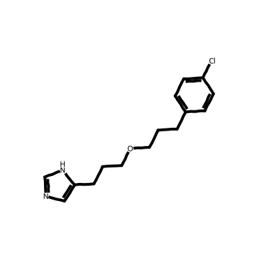 Clc1ccc(CCCOCCCc2cnc[nH]2)cc1